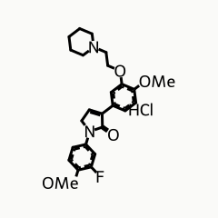 COc1ccc(N2CC=C(c3ccc(OC)c(OCCN4CCCCC4)c3)C2=O)cc1F.Cl